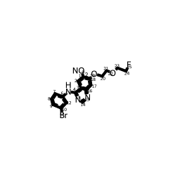 O=[N+]([O-])c1cc2c(Nc3cccc(Br)c3)ncnc2cc1OCCOCCF